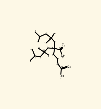 CC(C)CC(C)(C)CC(CCCC(=O)O)(CC(C)(C)CC(C)C)C(=O)O